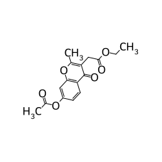 CCOC(=O)Cc1c(C)oc2cc(OC(C)=O)ccc2c1=O